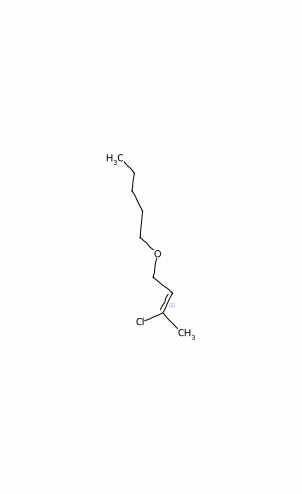 CCCCCOC/C=C(/C)Cl